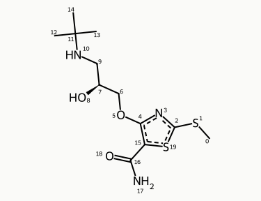 CSc1nc(OC[C@@H](O)CNC(C)(C)C)c(C(N)=O)s1